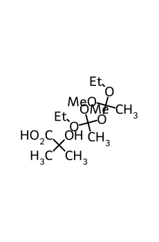 CC(C)(O)C(=O)O.CCOC(C)(OC)OC(C)(OC)OCC